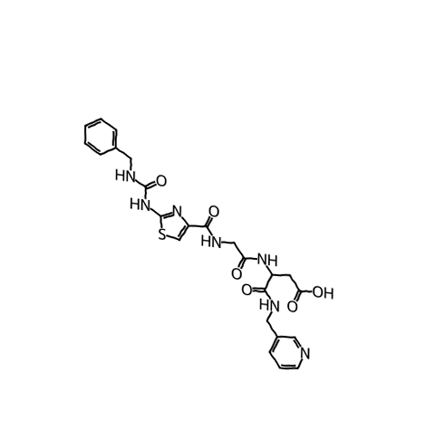 O=C(O)CC(NC(=O)CNC(=O)c1csc(NC(=O)NCc2ccccc2)n1)C(=O)NCc1cccnc1